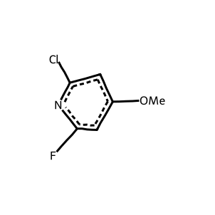 COc1cc(F)nc(Cl)c1